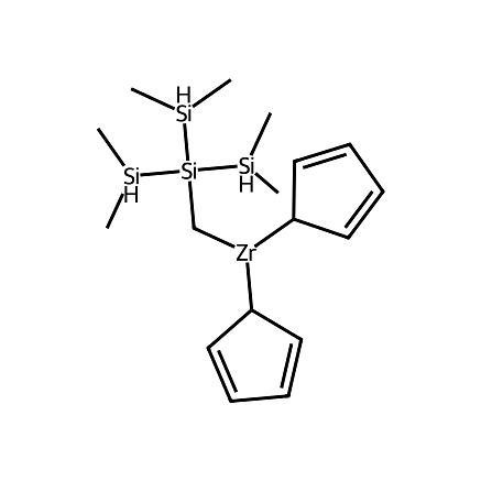 C[SiH](C)[Si]([CH2][Zr]([CH]1C=CC=C1)[CH]1C=CC=C1)([SiH](C)C)[SiH](C)C